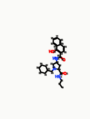 CCCNC(=O)[C@@H]1C[C@H](NC(=O)c2ccc3ccccc3c2O)CN1CC1CCCCC1